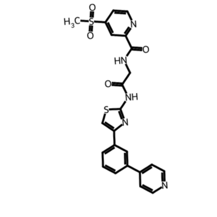 CS(=O)(=O)c1ccnc(C(=O)NCC(=O)Nc2nc(-c3cccc(-c4ccncc4)c3)cs2)c1